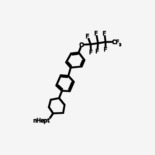 CCCCCCCC1CCC(c2ccc(-c3ccc(OC(F)(F)C(F)(F)C(F)(F)C(F)(F)F)cc3)cc2)CC1